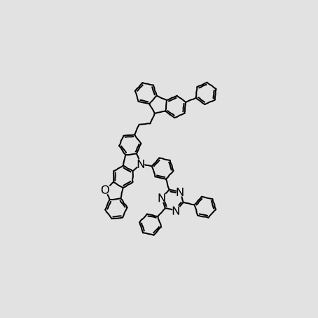 c1ccc(-c2ccc3c(c2)-c2ccccc2C3CCc2ccc3c4cc5oc6ccccc6c5cc4n(-c4cccc(-c5nc(-c6ccccc6)nc(-c6ccccc6)n5)c4)c3c2)cc1